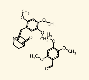 COc1cc(OC)c(OC)cc1/C=C1\C(=O)C2CCN1CC2.COc1cc(OC)c(OC)cc1C=O